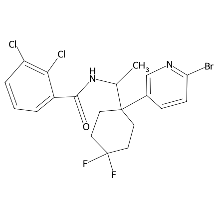 CC(NC(=O)c1cccc(Cl)c1Cl)C1(c2ccc(Br)nc2)CCC(F)(F)CC1